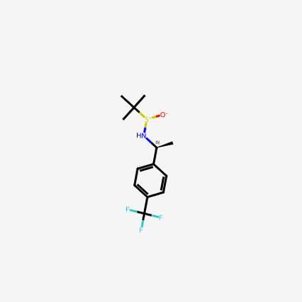 C[C@H](N[S+]([O-])C(C)(C)C)c1ccc(C(F)(F)F)cc1